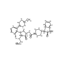 CN1CCN(c2cccc(F)c2C2SC(CC(=O)N3CCC(n4c(=O)[nH]c5ccccc54)CC3)C(=O)N2CCC(C)(C)C)CC1